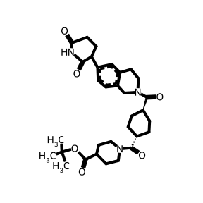 CC(C)(C)OC(=O)C1CCN(C(=O)[C@H]2CC[C@H](C(=O)N3CCc4cc(C5CCC(=O)NC5=O)ccc4C3)CC2)CC1